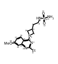 CCc1nc(N2CC(CCNS(N)(=O)=O)C2)c2ccc(OC)cc2n1